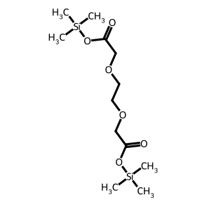 C[Si](C)(C)OC(=O)COCCOCC(=O)O[Si](C)(C)C